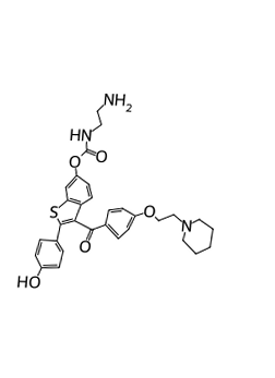 NCCNC(=O)Oc1ccc2c(C(=O)c3ccc(OCCN4CCCCC4)cc3)c(-c3ccc(O)cc3)sc2c1